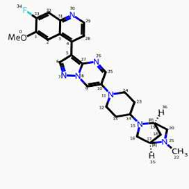 COc1cc2c(-c3cnn4cc(N5CCC(N6C[C@H]7C[C@@H]6CN7C)CC5)cnc34)ccnc2cc1F